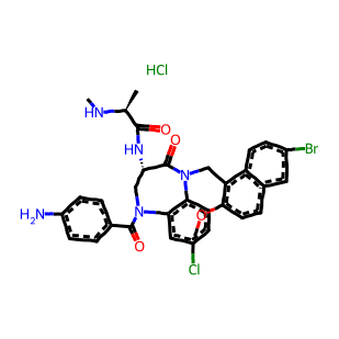 CN[C@@H](C)C(=O)N[C@H]1CN(C(=O)c2ccc(N)cc2)c2cc(Cl)ccc2N(Cc2c(OC)ccc3cc(Br)ccc23)C1=O.Cl